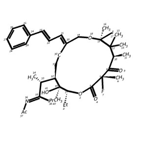 CC[C@H]1OC(=O)[C@@](C)(F)C(=O)[C@H](C)C(C)(C)[C@](C)(I)OC/C(=C/C=C/c2ccccc2)CC[C@H]([C@@H](C)/C(=N/C(C)=O)C(C)C)[C@]1(C)O